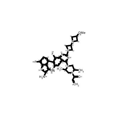 C=CC(=O)N1CC(C)N(c2nc(N3CC(N4CC(OC)C4)C3)nc3c(F)c(-c4ccc(F)c5sc(N)c(C#N)c45)c(C(F)(F)F)cc23)CC1C